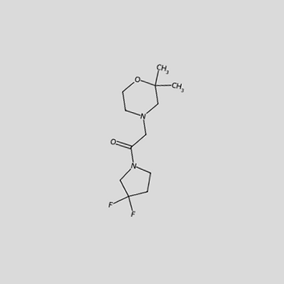 CC1(C)CN(CC(=O)N2CCC(F)(F)C2)CCO1